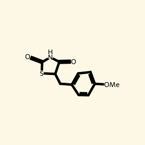 COc1ccc(CC2SC(=O)NC2=O)cc1